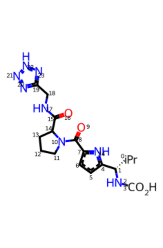 CC(C)[C@H](NC(=O)O)c1ccc(C(=O)N2CCCC2C(=O)NCc2nn[nH]n2)[nH]1